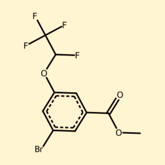 COC(=O)c1cc(Br)cc(OC(F)C(F)(F)F)c1